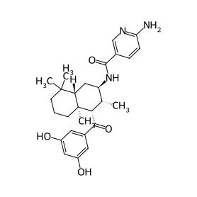 C[C@H]1[C@H](NC(=O)c2ccc(N)nc2)C[C@H]2C(C)(C)CCC[C@]2(C)[C@H]1C(=O)c1cc(O)cc(O)c1